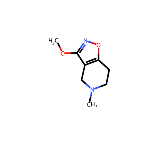 COc1noc2c1CN(C)CC2